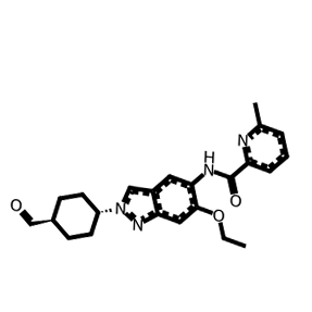 CCOc1cc2nn([C@H]3CC[C@H](C=O)CC3)cc2cc1NC(=O)c1cccc(C)n1